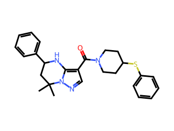 CC1(C)CC(c2ccccc2)Nc2c(C(=O)N3CCC(Sc4ccccc4)CC3)cnn21